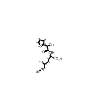 [N-]=[N+]=CC(=O)CCC(NC(=O)C(O)c1cccs1)C(=O)O